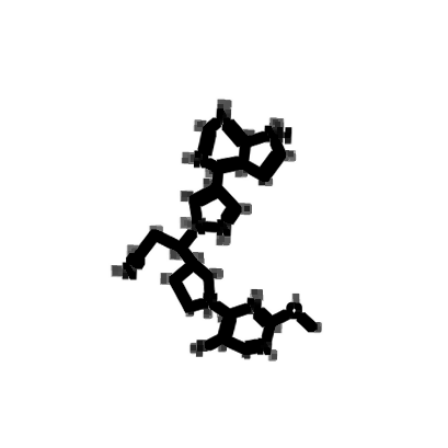 COc1ncc(F)c(N2CCC(C(CC#N)n3cc(-c4ncnc5[nH]ccc45)cn3)C2)n1